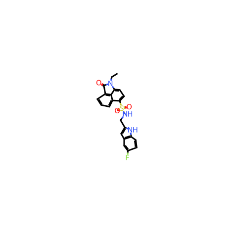 CCN1C(=O)c2cccc3c(S(=O)(=O)NCc4cc5cc(F)ccc5[nH]4)ccc1c23